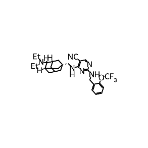 CCN(CC)[C@@H]1[C@@H]2CC3C[C@H]1C[C@](CNc1nc(NCc4ccccc4OC(F)(F)F)ncc1C#N)(C3)C2